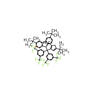 CC1=C(C(c2cc(C(F)(F)F)cc(C(F)(F)F)c2)(c2cc(C(F)(F)F)cc(C(F)(F)F)c2)C2c3ccc(C(C)(C)C)cc3-c3cc(C(C)(C)C)ccc32)C=C(C(C)(C)C)C1